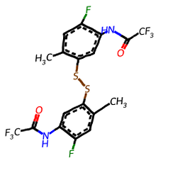 Cc1cc(F)c(NC(=O)C(F)(F)F)cc1SSc1cc(NC(=O)C(F)(F)F)c(F)cc1C